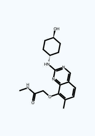 CNC(=O)COc1c(C)ccc2cnc(N[C@H]3CC[C@H](O)CC3)nc12